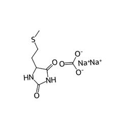 CSCCC1NC(=O)NC1=O.O=C([O-])[O-].[Na+].[Na+]